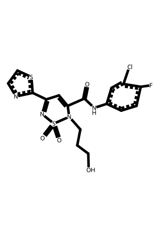 O=C(Nc1ccc(F)c(Cl)c1)C1=CC(c2nccs2)=NS(=O)(=O)N1CCCO